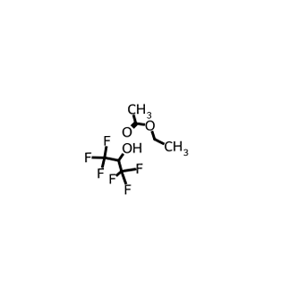 CCOC(C)=O.OC(C(F)(F)F)C(F)(F)F